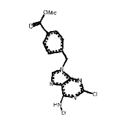 CCNc1nc(Cl)nc2c1ncn2Cc1ccc(C(=O)OC)cc1